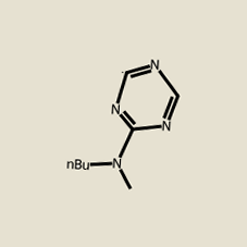 CCCCN(C)c1n[c]ncn1